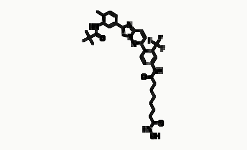 Cc1ccc(-c2cn3nc(-c4ccc(NC(=O)CCCCCCC(=O)NO)cc4C(F)(F)F)ccc3n2)cc1NC(=O)C(C)(C)C